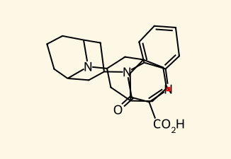 O=C(O)c1nc2ccccc2n(C2CC3CCCC(C2)N3C2CC3CCCC(C3)C2)c1=O